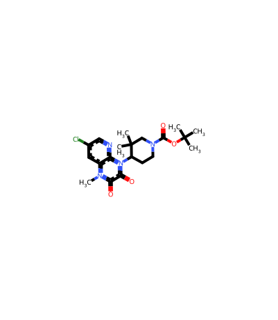 Cn1c(=O)c(=O)n(C2CCN(C(=O)OC(C)(C)C)CC2(C)C)c2ncc(Cl)cc21